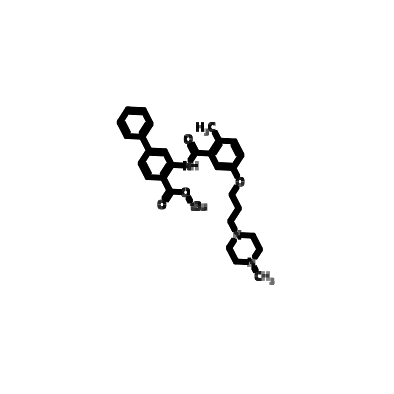 Cc1ccc(OCCCN2CCN(C)CC2)cc1C(=O)Nc1cc(-c2ccccc2)ccc1C(=O)OC(C)(C)C